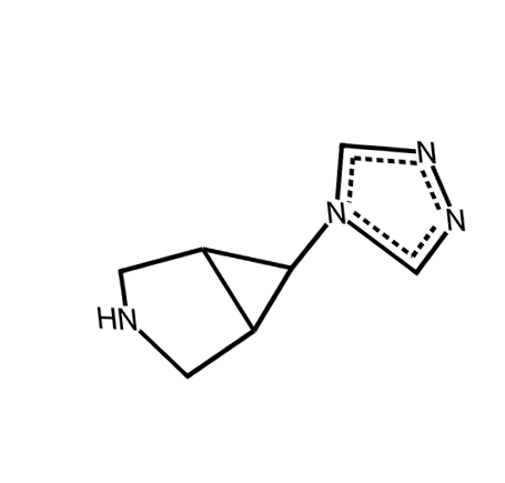 c1nncn1C1C2CNCC21